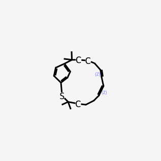 CC1(C)CCC/C=C\C=C/CCCC(C)(C)c2ccc(cc2)S1